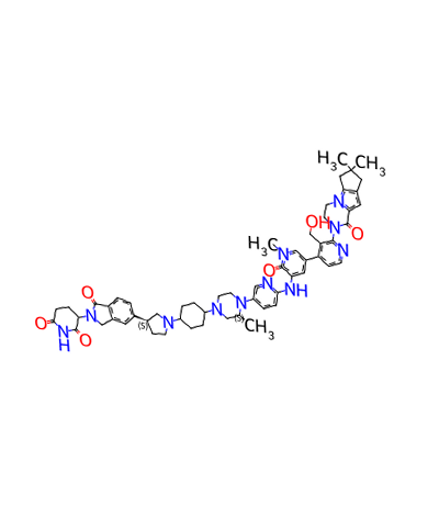 C[C@H]1CN(C2CCC(N3CC[C@@H](c4ccc5c(c4)CN(C4CCC(=O)NC4=O)C5=O)C3)CC2)CCN1c1ccc(Nc2cc(-c3ccnc(N4CCn5c(cc6c5CC(C)(C)C6)C4=O)c3CO)cn(C)c2=O)nc1